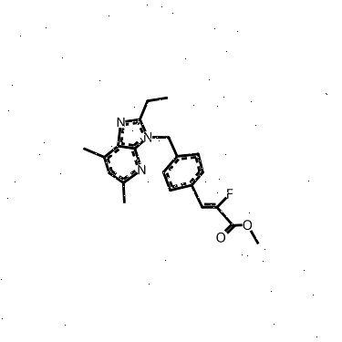 CCc1nc2c(C)cc(C)nc2n1Cc1ccc(/C=C(\F)C(=O)OC)cc1